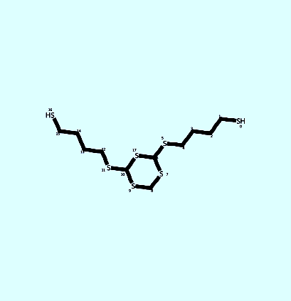 SCCCCSC1SCSC(SCCCCS)S1